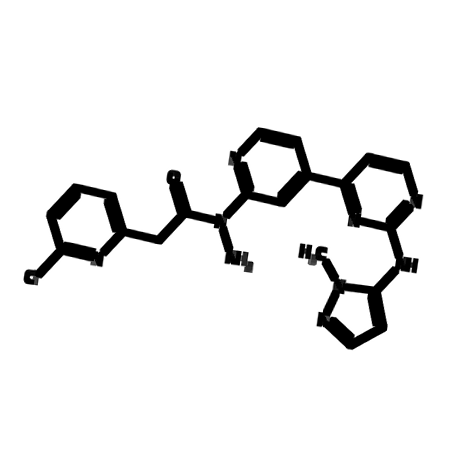 Cn1nccc1Nc1nccc(-c2ccnc(N(N)C(=O)Cc3cccc(Cl)n3)c2)n1